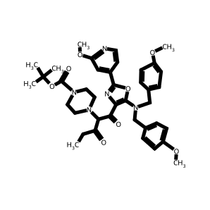 CCC(=O)C(C(=O)c1nc(-c2ccnc(OC)c2)oc1N(Cc1ccc(OC)cc1)Cc1ccc(OC)cc1)N1CCN(C(=O)OC(C)(C)C)CC1